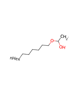 [CH2]C(O)OCCCCCCCCCCCC